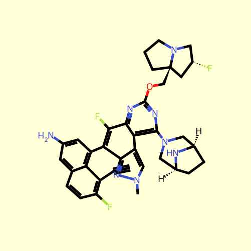 C#Cc1c(F)ccc2cc(N)cc(-c3c(F)c4nc(OC[C@@]56CCCN5C[C@H](F)C6)nc(N5C[C@H]6CC[C@@H](C5)N6)c4c4cn(C)nc34)c12